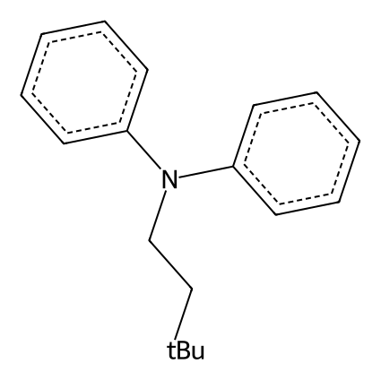 CC(C)(C)CCN(c1ccccc1)c1ccccc1